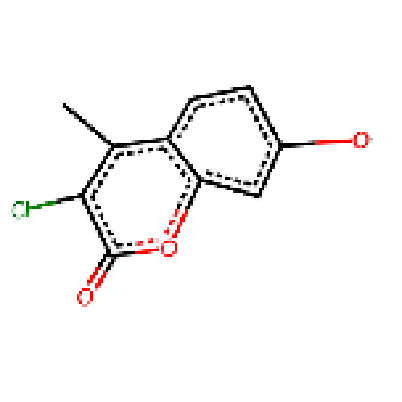 Cc1c(Cl)c(=O)oc2cc([O])ccc12